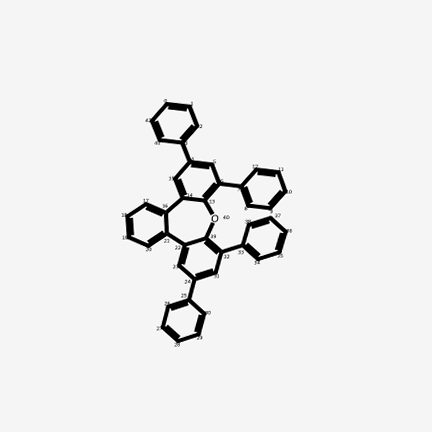 c1ccc(-c2cc(-c3ccccc3)c3c(c2)-c2ccccc2-c2cc(-c4ccccc4)cc(-c4ccccc4)c2O3)cc1